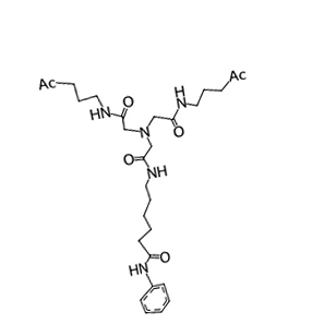 CC(=O)CCCNC(=O)CN(CC(=O)NCCCCCC(=O)Nc1ccccc1)CC(=O)NCCCC(C)=O